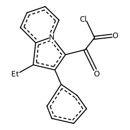 CCc1c(-c2ccccc2)c(C(=O)C(=O)Cl)n2ccccc12